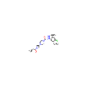 C=CC(=O)N1CC(N2CCN(C(=O)CNc3cc(C=O)c(Cl)cc3OC)CC2)C1